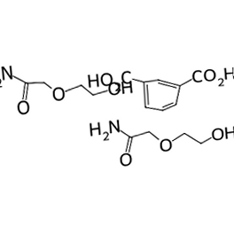 NC(=O)COCCO.NC(=O)COCCO.O=C(O)c1cccc(C(=O)O)c1